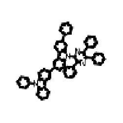 c1ccc(-c2ccc3c4cc(-c5ccc6c(c5)c5ccccc5n6-c5ccccc5)ccc4n(-c4nc(-c5ccccc5)c(-c5ccccc5)nc4-c4ccccc4)c3c2)cc1